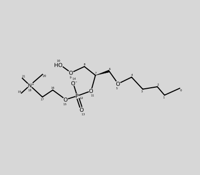 CCCCCOC[C@H](COO)OP(=O)([O-])OCC[N+](C)(C)C